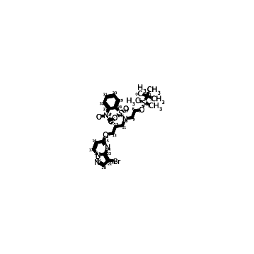 CC(C)(C)[Si](C)(C)OCCN(CCCOc1ccn2ncc(Br)c2n1)S(=O)(=O)c1ccccc1[N+](=O)[O-]